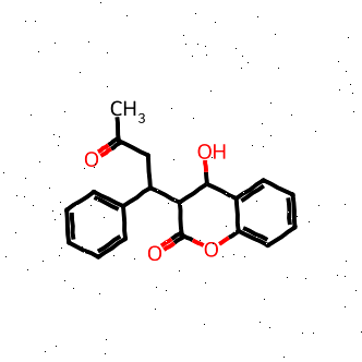 CC(=O)CC(c1ccccc1)C1C(=O)Oc2ccccc2C1O